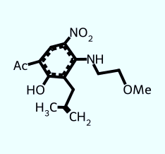 C=C(C)Cc1c(O)c(C(C)=O)cc([N+](=O)[O-])c1NCCOC